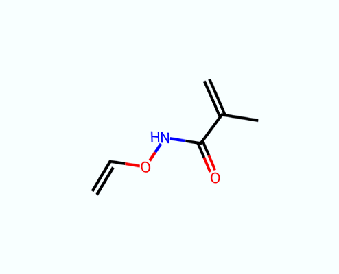 C=CONC(=O)C(=C)C